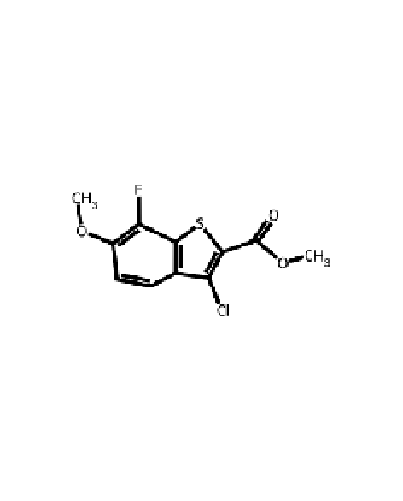 COC(=O)c1sc2c(F)c(OC)ccc2c1Cl